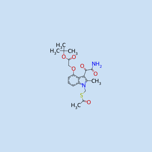 CC(=O)SCn1c(C)c(C(=O)C(N)=O)c2c(OCC(=O)OC(C)(C)C)cccc21